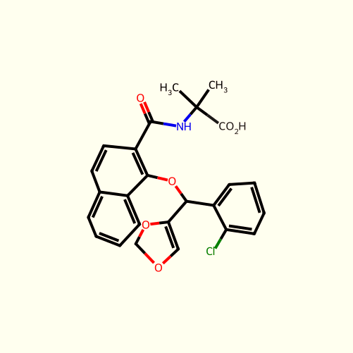 CC(C)(NC(=O)c1ccc2ccccc2c1OC(C1=COCO1)c1ccccc1Cl)C(=O)O